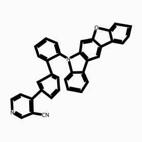 N#Cc1cnccc1-c1cccc(-c2ccccc2-n2c3ccccc3c3cc4c(cc32)oc2ccccc24)c1